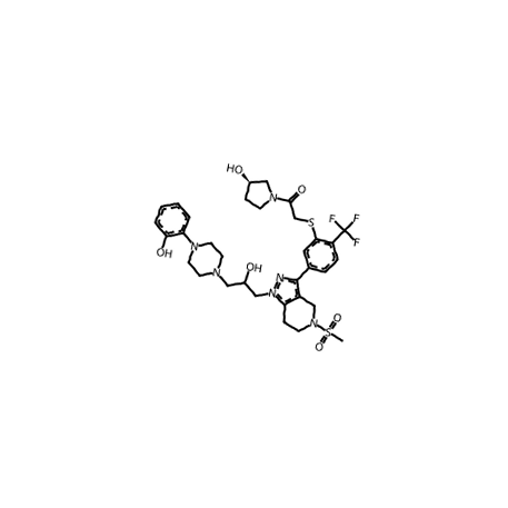 CS(=O)(=O)N1CCc2c(c(-c3ccc(C(F)(F)F)c(SCC(=O)N4CC[C@@H](O)C4)c3)nn2CC(O)CN2CCN(c3ccccc3O)CC2)C1